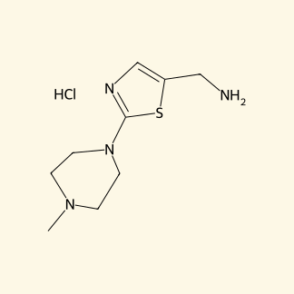 CN1CCN(c2ncc(CN)s2)CC1.Cl